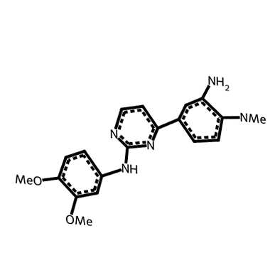 CNc1ccc(-c2ccnc(Nc3ccc(OC)c(OC)c3)n2)cc1N